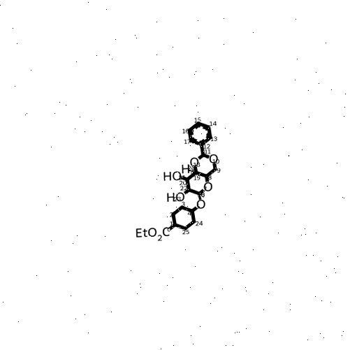 CCOC(=O)C1CCC(O[C@@H]2OC3COC(c4ccccc4)O[C@@H]3C(O)C2O)CC1